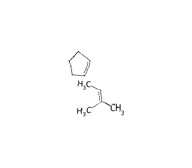 C1=CCCC1.CC=C(C)C